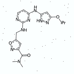 CC(C)Oc1cc(Nc2ccnc(NCc3cc(C(=O)N(C)C)no3)n2)[nH]n1